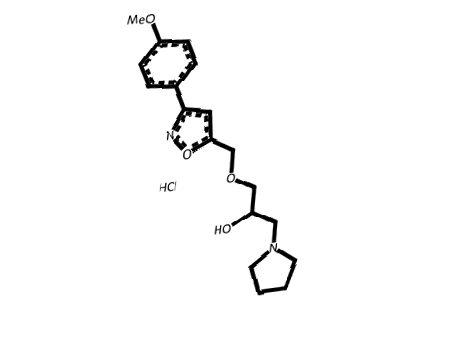 COc1ccc(-c2cc(COCC(O)CN3CCCC3)on2)cc1.Cl